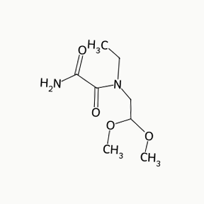 CCN(CC(OC)OC)C(=O)C(N)=O